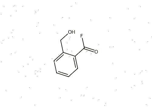 O=C(F)c1ccccc1CO